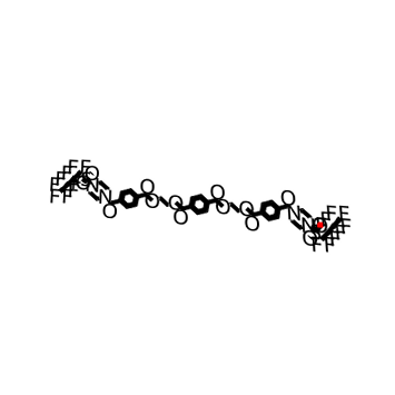 O=C(OCCOC(=O)c1ccc(C(=O)N2CCN(S(=O)(=O)C(F)(F)C(F)(F)C(F)(F)C(F)(F)F)CC2)cc1)c1ccc(C(=O)OCCOC(=O)c2ccc(C(=O)N3CCN(S(=O)(=O)C(F)(F)C(F)(F)C(F)(F)C(F)(F)F)CC3)cc2)cc1